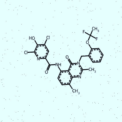 Cc1ccc(NC(=O)c2cc(Cl)c(O)c(Cl)n2)c2c(=O)n(Cc3ccccc3OC(C)(F)F)c(C)nc12